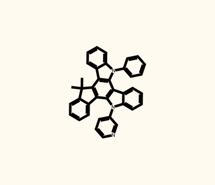 CC1(C)c2ccccc2-c2c1c1c3ccccc3n(-c3ccccc3)c1c1c3ccccc3n(-c3cccnc3)c21